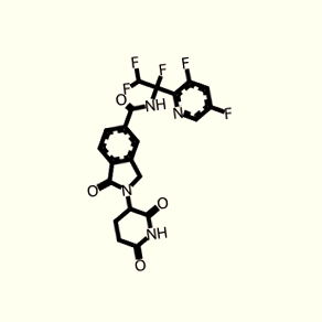 O=C1CCC(N2Cc3cc(C(=O)NC(F)(c4ncc(F)cc4F)C(F)F)ccc3C2=O)C(=O)N1